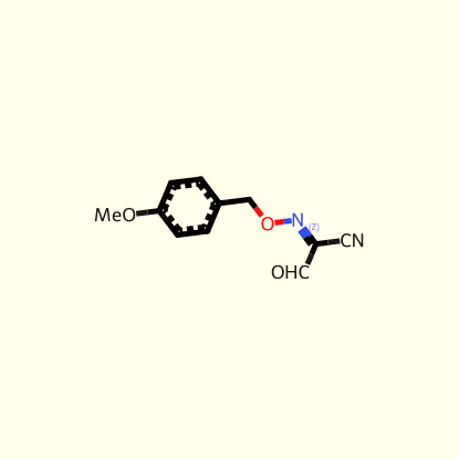 COc1ccc(CO/N=C(/C#N)C=O)cc1